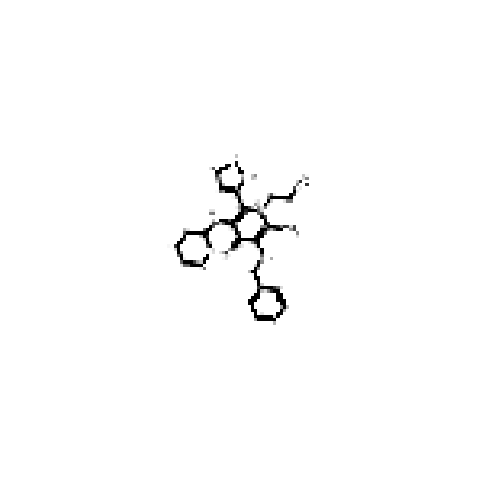 Cc1c(OCc2ccccc2)c(=O)c(OC2CCCCO2)c(C2=CCOO2)n1CCO